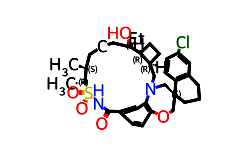 CC[C@@]1(O)CCC[C@H](C)[C@@H](C)S(=O)(=O)NC(=O)c2ccc3c(c2)N(C[C@@H]2CC[C@H]21)C[C@@]1(CCCc2cc(Cl)ccc21)CO3